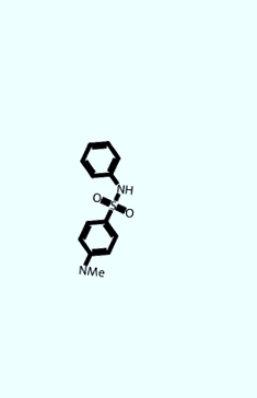 CNc1ccc(S(=O)(=O)Nc2ccccc2)cc1